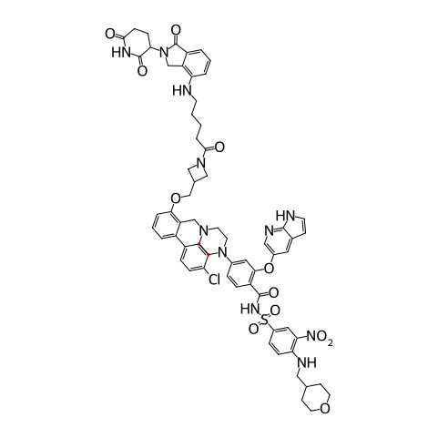 O=C1CCC(N2Cc3c(NCCCCC(=O)N4CC(COc5cccc(-c6ccc(Cl)cc6)c5CN5CCN(c6ccc(C(=O)NS(=O)(=O)c7ccc(NCC8CCOCC8)c([N+](=O)[O-])c7)c(Oc7cnc8[nH]ccc8c7)c6)CC5)C4)cccc3C2=O)C(=O)N1